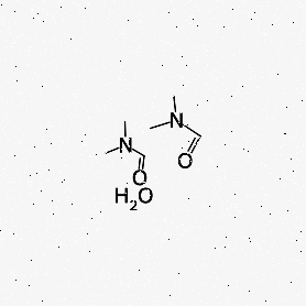 CN(C)C=O.CN(C)C=O.O